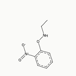 CCNOc1ccccc1[N+](=O)[O-]